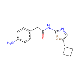 Nc1ccc(CC(=O)Nc2ncc(C3CCC3)s2)cc1